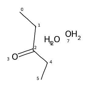 CCC(=O)CC.O.O